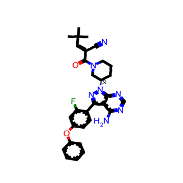 CC(C)(C)C=C(C#N)C(=O)N1CCC[C@H](n2nc(-c3ccc(Oc4ccccc4)cc3F)c3c(N)ncnc32)C1